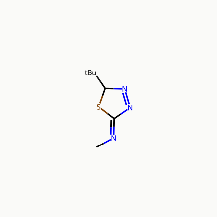 CN=C1N=NC(C(C)(C)C)S1